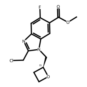 COC(=O)c1cc2c(cc1F)nc(CCl)n2C[C@@H]1CCO1